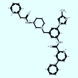 Cc1cn(-c2cc(CN3CCC[C@H](NC(=O)Cc4ccccn4)C3)cc(NC(=O)c3cc(-c4ccccc4)ccn3)c2)cn1